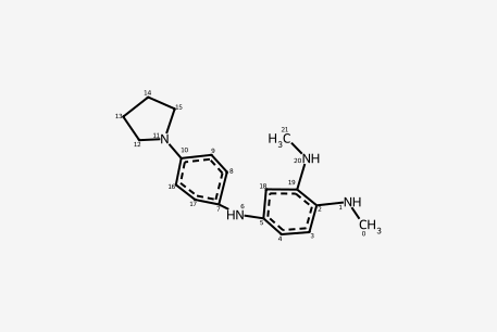 CNc1ccc(Nc2ccc(N3CCCC3)cc2)cc1NC